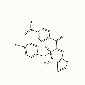 Cc1ccsc1/C=C(/C(=O)c1ccc([N+](=O)[O-])cc1)S(=O)(=O)Cc1ccc(Cl)cc1